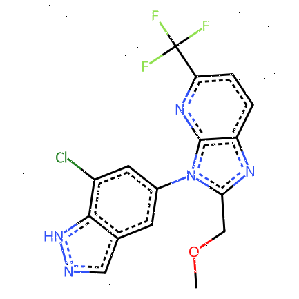 COCc1nc2ccc(C(F)(F)F)nc2n1-c1cc(Cl)c2[nH]ncc2c1